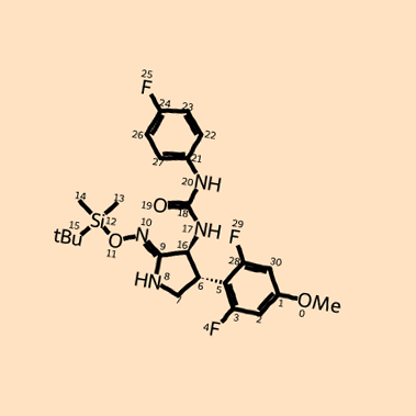 COc1cc(F)c([C@@H]2CN/C(=N\O[Si](C)(C)C(C)(C)C)[C@H]2NC(=O)Nc2ccc(F)cc2)c(F)c1